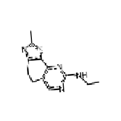 CCNc1ncc2c(n1)-c1sc(C)nc1CC2